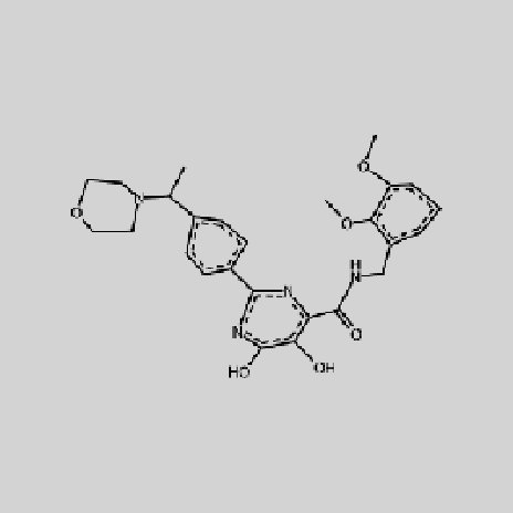 COc1cccc(CNC(=O)c2nc(-c3ccc(C(C)N4CCOCC4)cc3)nc(O)c2O)c1OC